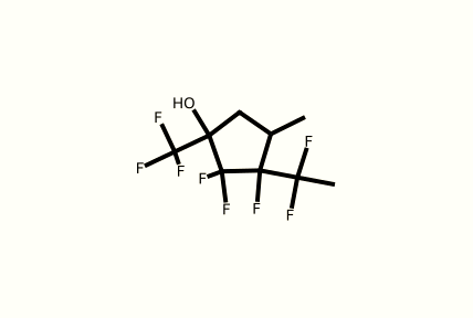 CC1CC(O)(C(F)(F)F)C(F)(F)C1(F)C(C)(F)F